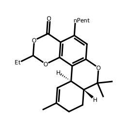 CCCCCc1cc2c(c3c1C(=O)OC(CC)O3)[C@@H]1C=C(C)CC[C@H]1C(C)(C)O2